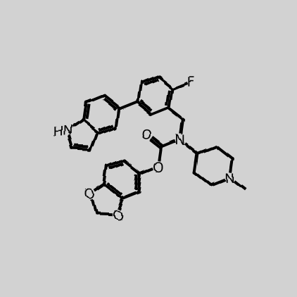 CN1CCC(N(Cc2cc(-c3ccc4[nH]ccc4c3)ccc2F)C(=O)Oc2ccc3c(c2)OCO3)CC1